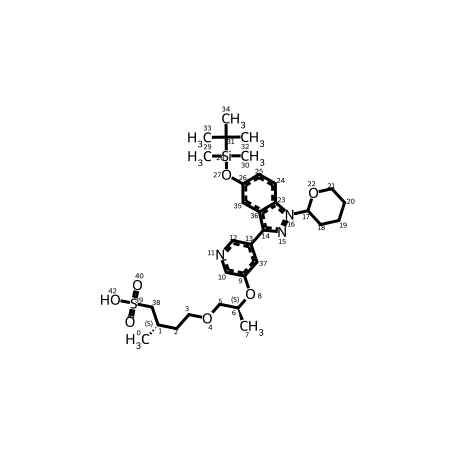 C[C@@H](CCOC[C@H](C)Oc1cncc(-c2nn(C3CCCCO3)c3ccc(O[Si](C)(C)C(C)(C)C)cc23)c1)CS(=O)(=O)O